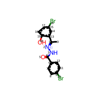 C/C(=N\NC(=O)c1ccc(Br)cc1)c1cc(Br)ccc1O